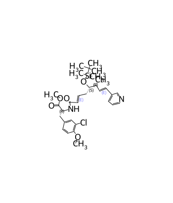 COC(=O)[C@@H](Cc1ccc(OC)c(Cl)c1)NC(=O)/C=C/C[C@H](O[Si](C)(C)C(C)(C)C)[C@H](C)/C=C/c1cccnc1